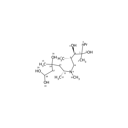 CCCC(C)(O)[C@H](O)[C@@H](C)CN(C)[C@H](C)CC(C)(O)CC(O)O